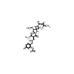 CC(=N)/C(=C\NCc1ccc(F)cc1OC(F)F)C(=O)N1C[C@@H](CO)C2(C1)CN(C(=O)C1CC1(C)C)C2